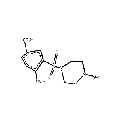 COc1ccc(C(=O)O)cc1S(=O)(=O)N1CCN(C(C)=O)CC1